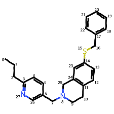 CCCc1ccc(CN2CCc3ccc(SCc4ccccc4)cc3C2)cn1